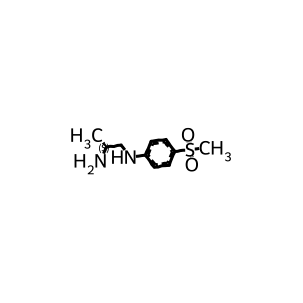 C[C@H](N)CNc1ccc(S(C)(=O)=O)cc1